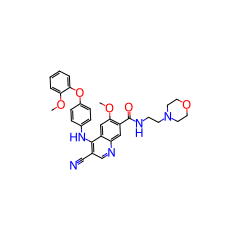 COc1ccccc1Oc1ccc(Nc2c(C#N)cnc3cc(C(=O)NCCN4CCOCC4)c(OC)cc23)cc1